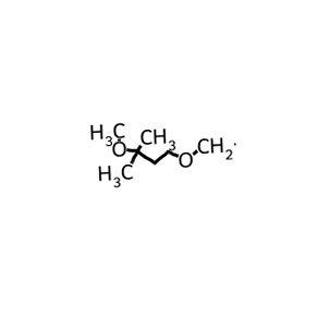 [CH2]OCCC(C)(C)OC